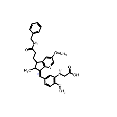 COc1cnc2c(c1)C(CCC(=O)NCc1ccccc1)C(C)/C2=C/c1ccc(OC)c(NCC(=O)O)c1